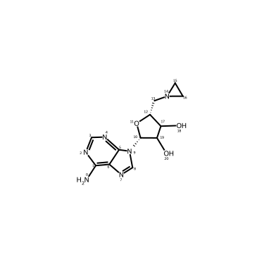 Nc1ncnc2c1ncn2[C@@H]1O[C@H](CN2CC2)C(O)C1O